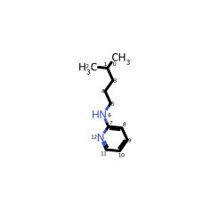 CC(C)CCCNc1ccccn1